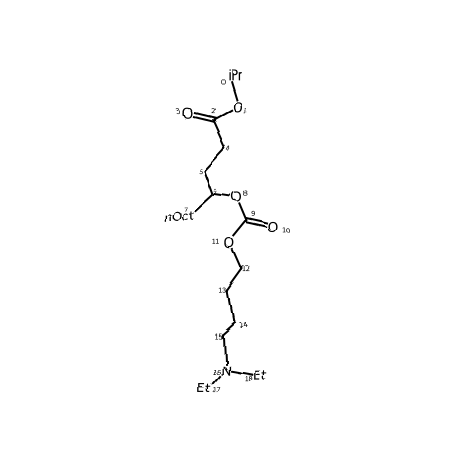 [CH2]C([CH2])OC(=O)CCC(CCCCCCCC)OC(=O)OCCCCN(CC)CC